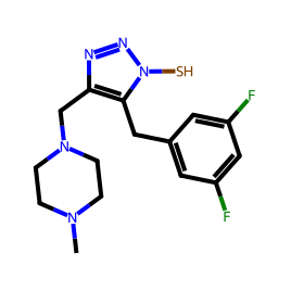 CN1CCN(Cc2nnn(S)c2Cc2cc(F)cc(F)c2)CC1